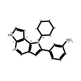 O=[N+]([O-])c1cccc(-c2cc3cnc4[nH]ccc4c3n2C2CCCCC2)c1